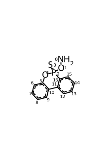 NOP1(=S)Oc2ccccc2-c2ccccc21